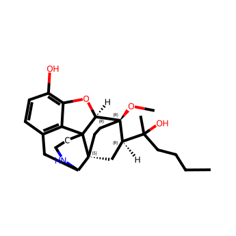 CCCCC(C)(O)[C@H]1C[C@@]23CC[C@]1(OC)[C@@H]1Oc4c(O)ccc5c4C12CCNC3C5